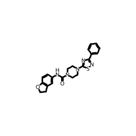 O=C(Nc1ccc2c(c1)CCO2)N1CCN(c2nc(-c3ccccc3)ns2)CC1